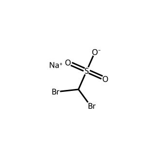 O=S(=O)([O-])C(Br)Br.[Na+]